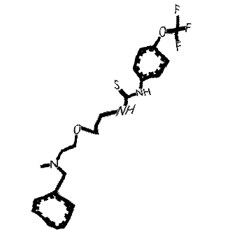 CN(CCOCCNC(=S)Nc1ccc(OC(F)(F)F)cc1)Cc1ccccc1